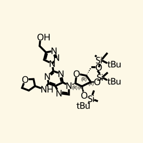 CC(C)(C)[Si](C)(C)OC[C@H]1O[C@@H](n2cnc3c(NC4CCOC4)nc(-n4cc(CO)nn4)nc32)[C@H](O[Si](C)(C)C(C)(C)C)[C@@H]1O[Si](C)(C)C(C)(C)C